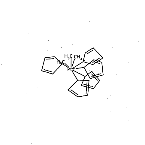 [CH3][Pt-4]([CH3])([CH3])([CH]1C=CC=C1)([CH]1C=CC=C1)([CH]1C=CC=C1)([CH]1C=CC=C1)[CH]1C=CC=C1